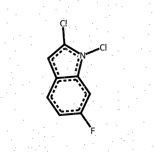 Fc1ccc2cc(Cl)n(Cl)c2c1